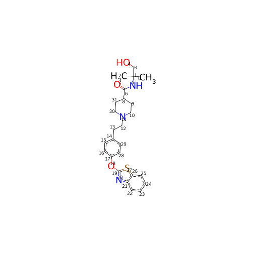 CC(C)(CO)NC(=O)C1CCN(CCc2ccc(Oc3nc4ccccc4s3)cc2)CC1